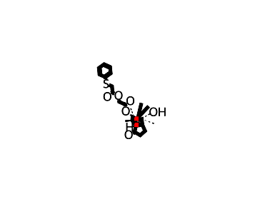 C[C@@H]1CC[C@@]23CCC(=O)[C@H]2[C@]1(C)[C@H](OC(=O)COC(=O)CSc1ccccc1)CC(C)(C)[C@@H](O)[C@@H]3C